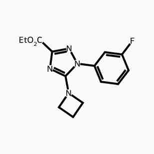 CCOC(=O)c1nc(N2CCC2)n(-c2cccc(F)c2)n1